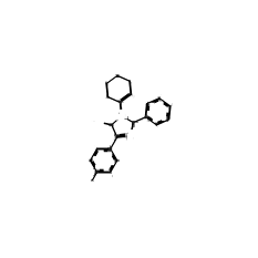 CC1C(c2ccc(Cl)cc2)=NC(c2ccccc2)N1C1=CCCCC1